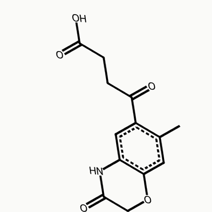 Cc1cc2c(cc1C(=O)CCC(=O)O)NC(=O)CO2